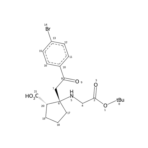 CC(C)(C)OC(=O)CN[C@]1(CC(=O)c2ccc(Br)cc2)CCC[C@@H]1C(=O)O